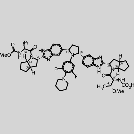 COC(=O)N[C@H](C(=O)N1[C@H](c2nc3cc([C@H]4CC[C@H](c5ccc6[nH]c([C@@H]7C[C@@H]8CCC[C@@H]8N7C(=O)[C@@H](NC(=O)O)[C@@H](C)OC)nc6c5)N4c4cc(F)c(N5CCCCC5)c(F)c4)ccc3[nH]2)C[C@@H]2CCC[C@@H]21)C(C)C